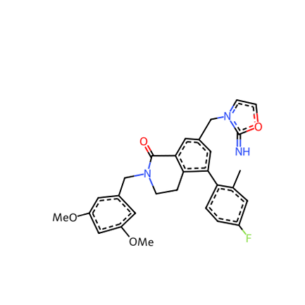 COc1cc(CN2CCc3c(cc(Cn4ccoc4=N)cc3-c3ccc(F)cc3C)C2=O)cc(OC)c1